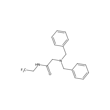 O=C(CN(Cc1ccccc1)Cc1ccccc1)NCC(F)(F)F